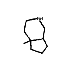 CC12CCCC1CNCC2